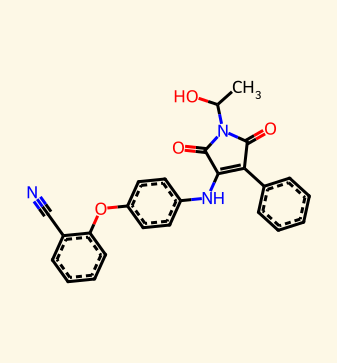 CC(O)N1C(=O)C(Nc2ccc(Oc3ccccc3C#N)cc2)=C(c2ccccc2)C1=O